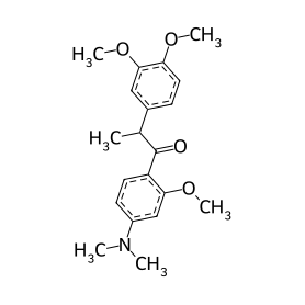 COc1ccc(C(C)C(=O)c2ccc(N(C)C)cc2OC)cc1OC